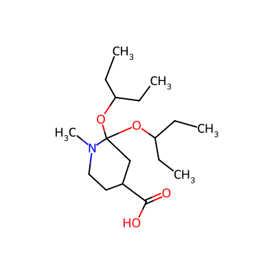 CCC(CC)OC1(OC(CC)CC)CC(C(=O)O)CCN1C